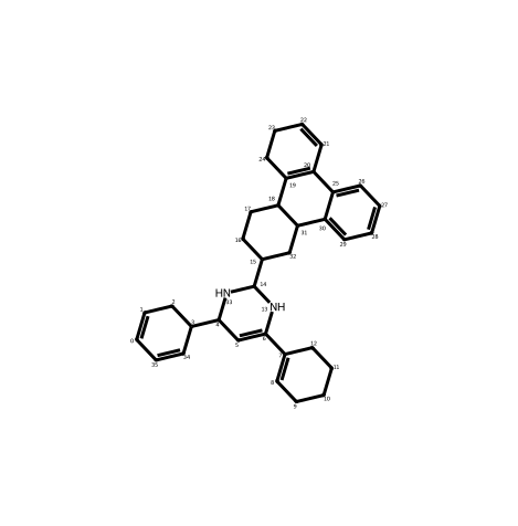 C1=CCC(C2C=C(C3=CCCCC3)NC(C3CCC4C5=C(C=CCC5)c5ccccc5C4C3)N2)C=C1